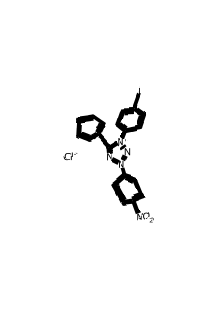 O=[N+]([O-])c1ccc(-n2nc(-c3ccccc3)[n+](-c3ccc(I)cc3)n2)cc1.[Cl-]